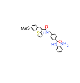 CSc1ccc(C=C(C(=O)NCc2ccc(C(=O)Nc3ccccc3N)cc2)c2cccs2)cc1